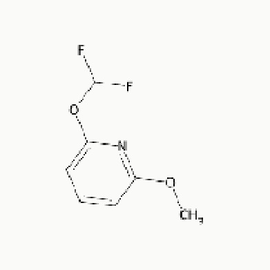 COc1cccc(OC(F)F)n1